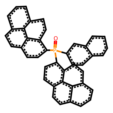 O=P(c1ccc2ccccc2c1)(c1ccc2ccc3cccc4ccc1c2c34)c1ccc2ccc3cccc4ccc1c2c34